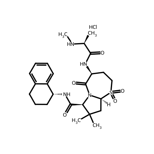 CN[C@@H](C)C(=O)N[C@H]1CCS(=O)(=O)[C@H]2CC(C)(C)[C@@H](C(=O)N[C@@H]3CCCc4ccccc43)N2C1=O.Cl